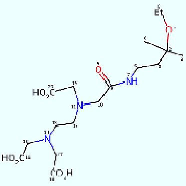 CCOC(C)(C)CCNC(=O)CN(CCN(CC(=O)O)CC(=O)O)CC(=O)O